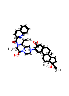 C#C[C@]1(O)CCC2[C@@H]3CCc4cc(O)c(N5CCN(C(O)[C@H](C)N(CCC)C(=O)c6ccc7ccccc7n6)CC5)cc4C3CC[C@@]21C